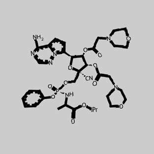 CC(C)OC(=O)C(C)N[P@](=O)(OC[C@@]1(C#N)O[C@@H](c2ccc3c(N)ncnn23)[C@H](OC(=O)CN2CCOCC2)[C@@H]1OC(=O)CN1CCOCC1)Oc1ccccc1